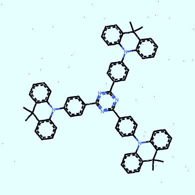 CC1(C)c2ccccc2N(c2ccc(-c3nc(-c4ccc(N5c6ccccc6C(C)(C)c6ccccc65)cc4)nc(-c4ccc(N5c6ccccc6C(C)(C)c6ccccc65)cc4)n3)cc2)c2ccccc21